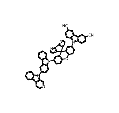 N#Cc1ccc2c(c1)c1cc(C#N)ccc1n2-c1ccc2c(c1)C1(c3cc(-n4c5ccccc5c5cc(-n6c7ccccc7c7ccncc76)ccc54)ccc3O2)c2cccnc2-c2ncccc21